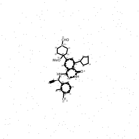 C#C[C@@H](Nc1n[nH]c(=O)c2c(C3CCCC3)cc(C3(OC)CCN(C=O)CC3)cc12)c1cccc(C(F)(F)F)c1C